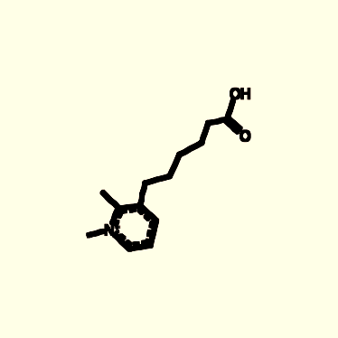 Cc1c(CCCCCC(=O)O)ccc[n+]1C